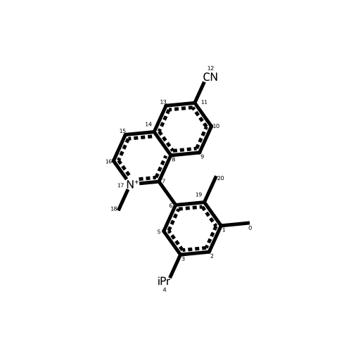 Cc1cc(C(C)C)cc(-c2c3ccc(C#N)cc3cc[n+]2C)c1C